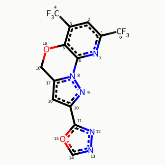 FC(F)(F)c1cc(C(F)(F)F)c2c(n1)-n1nc(-c3nnco3)cc1CO2